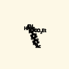 CCOC(=O)c1nn(PC)nc1-c1ccc(C2=CCN(C(C)=O)CC2)cc1